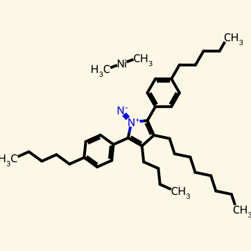 CCCCCCCCC1=C(c2ccc(CCCCC)cc2)[N+](=[N-])C(c2ccc(CCCCC)cc2)=C1CCCC.[CH3][Ni][CH3]